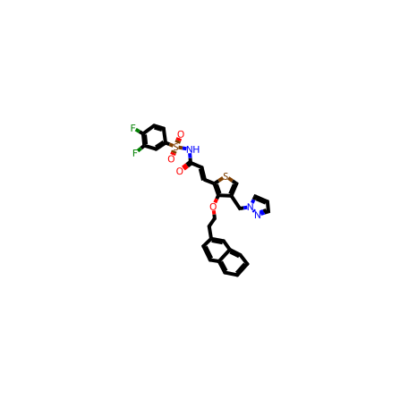 O=C(C=Cc1scc(Cn2cccn2)c1OCCc1ccc2ccccc2c1)NS(=O)(=O)c1ccc(F)c(F)c1